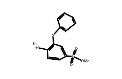 COS(=O)(=O)c1ccc(S)c(Sc2ccccc2)c1.[Zn]